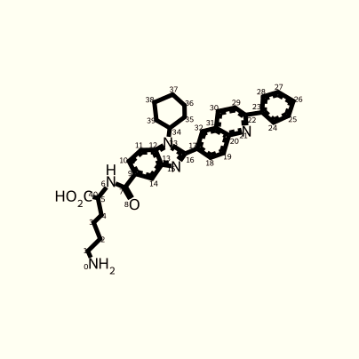 NCCCCC(NC(=O)c1ccc2c(c1)nc(-c1ccc3nc(-c4ccccc4)ccc3c1)n2C1CCCCC1)C(=O)O